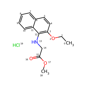 CCOc1ccc2ccccc2c1NCC(=O)OC.Cl